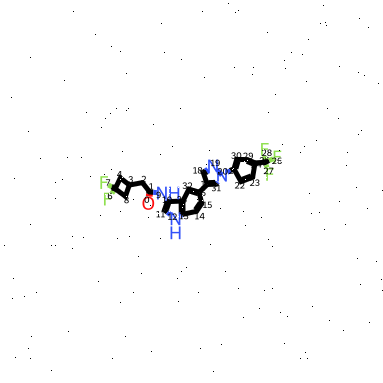 O=C(CC1CC(F)(F)C1)Nc1c[nH]c2ccc(-c3cnn(-c4ccc(C(F)(F)F)cc4)c3)cc12